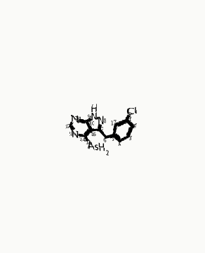 Clc1cccc(Cc2n[nH]c3ncnc([AsH2])c23)c1